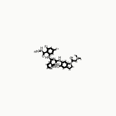 CCCNC(=O)c1c(F)cc(F)cc1Nc1nc(Nc2cc3c(cc2OC)CCN3C(=O)CN(C)C)[nH]c2nccc1-2